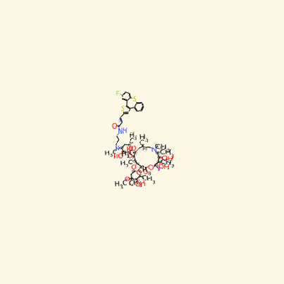 CO[C@]1(C)C[C@H](O[C@H]2[C@H](C)[C@@H](O[C@@H]3O[C@H](C)C[C@H](N(C)CCCNC(=O)/C=C/c4cc5c(s4)-c4cc(F)ccc4Sc4ccccc4-5)[C@H]3O)[C@](C)(O)C[C@@H](C)CN(C)[C@H](C)[C@@H](O)[C@](C)(O)[C@@H](I)OC(=O)[C@@H]2C)O[C@@H](C)[C@@H]1O